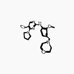 COc1cc(CN2CCOCC2)ccc1Nc1ncc(Cl)c(N2CCCC2)n1